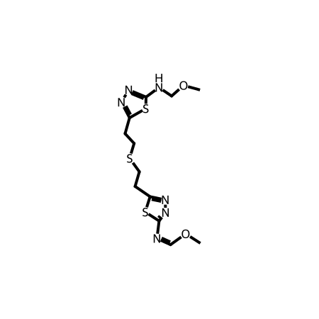 CO/C=N\c1nnc(CCSCCc2nnc(NCOC)s2)s1